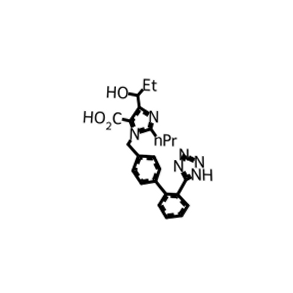 CCCc1nc(C(O)CC)c(C(=O)O)n1Cc1ccc(-c2ccccc2-c2nnn[nH]2)cc1